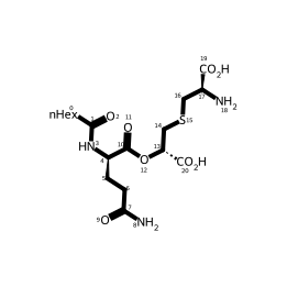 CCCCCCC(=O)N[C@H](CCC(N)=O)C(=O)O[C@H](CSC[C@H](N)C(=O)O)C(=O)O